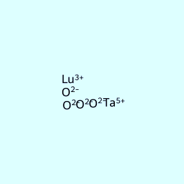 [Lu+3].[O-2].[O-2].[O-2].[O-2].[Ta+5]